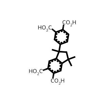 CC1(C)CC(C)(c2ccc(C(=O)O)c(C(=O)O)c2)c2cc(C(=O)O)c(C(=O)O)cc21